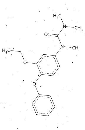 CCOc1cc(N(C)C(=O)N(C)C)ccc1Oc1ccccc1